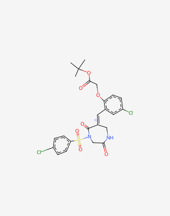 CC(C)(C)OC(=O)COc1ccc(Cl)cc1/C=C1\CNC(=O)CN(S(=O)(=O)c2ccc(Cl)cc2)C1=O